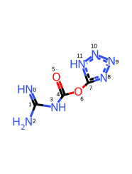 N=C(N)NC(=O)Oc1nnn[nH]1